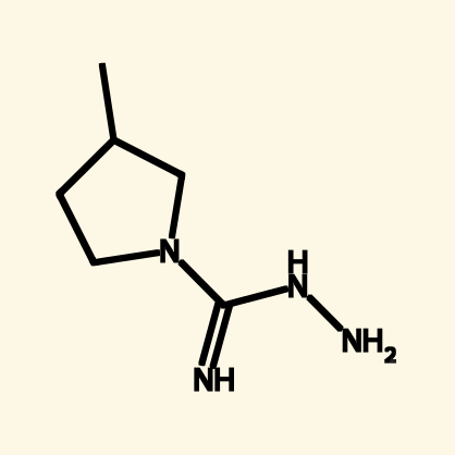 CC1CCN(C(=N)NN)C1